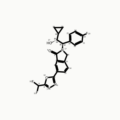 O=C1c2cc(-c3nnc(C(F)F)o3)ccc2CN1[C@H](c1ccc(F)cc1)[C@H](O)C1CC1